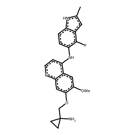 COc1cc2c(Nc3ccc4[nH]c(C)cc4c3F)ccnc2cc1OCC1(N)CC1